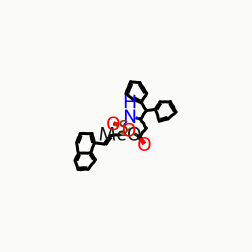 COC(=O)CC(NS(=O)(=O)CC=Cc1cccc2ccccc12)C(c1ccccc1)c1ccccc1